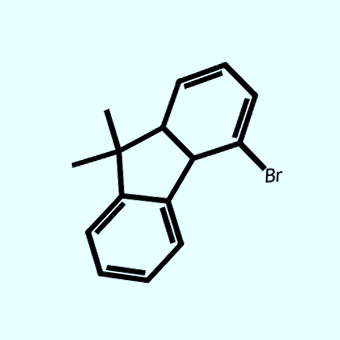 CC1(C)c2ccccc2C2C(Br)=CC=CC21